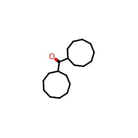 O=C(C1CCCCCCCC1)C1CCCCCCCC1